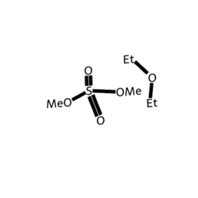 CCOCC.COS(=O)(=O)OC